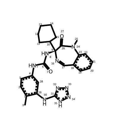 Cc1ccc(NC(=O)N[C@]2(C3CCCCC3)N=Cc3ccccc3N(C)C2=O)cc1Nc1nnn[nH]1